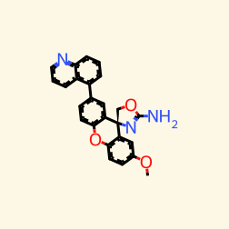 COc1ccc2c(c1)[C@]1(COC(N)=N1)c1cc(-c3cccc4ncccc34)ccc1O2